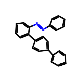 c1ccc(N=Nc2ccccc2-c2ccc(-c3ccccc3)cc2)cc1